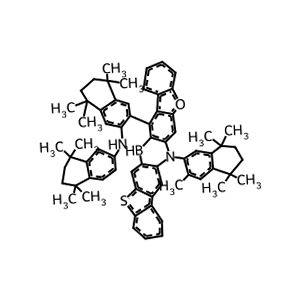 Cc1cc2c(cc1N1c3cc4c(cc3Bc3c1cc1oc5ccccc5c1c3-c1cc3c(cc1Nc1ccc5c(c1)C(C)(C)CCC5(C)C)C(C)(C)CCC3(C)C)sc1ccccc14)C(C)(C)CCC2(C)C